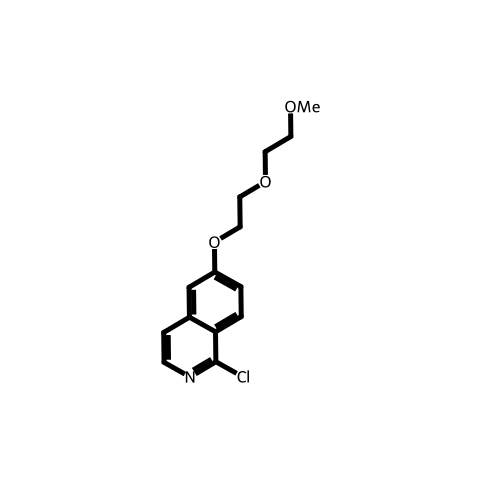 COCCOCCOc1ccc2c(Cl)nccc2c1